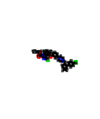 CC1(C)CCC(CN2CCN(c3ccc(C(=O)O)c(Oc4cccc5c4c(Cl)nn5C(=O)OC(C)(C)C)c3)CC2)=C(c2ccc(Cl)cc2)C1